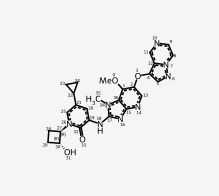 COc1c(Oc2cnn3ccncc23)cnc2nc(Nc3cc(C4CC4)cn([C@@H]4CC[C@H]4O)c3=O)n(C)c12